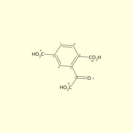 O=C(O)C(=O)c1cc(C(=O)O)ccc1C(=O)O